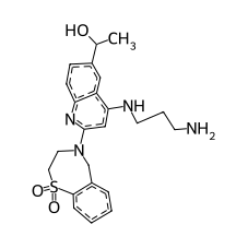 CC(O)c1ccc2nc(N3CCS(=O)(=O)c4ccccc4C3)cc(NCCCN)c2c1